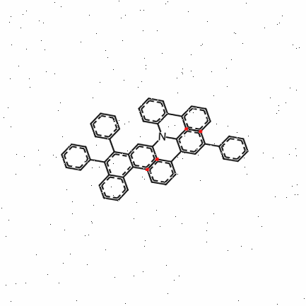 c1ccc(-c2ccc(N(c3ccc4c(c3)c(-c3ccccc3)c(-c3ccccc3)c3ccccc34)c3ccccc3-c3ccccc3)c(-c3ccccc3)c2)cc1